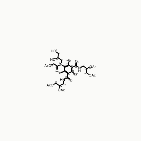 CC(=O)OCC(=O)N(CC(O)CO)c1c(Br)c(C(=O)NCC(COC(C)=O)OC(C)=O)c(Br)c(C(=O)NCC(COC(C)=O)OC(C)=O)c1Br